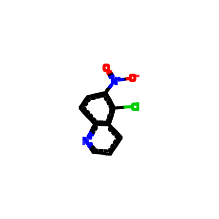 O=[N+]([O-])c1ccc2ncccc2c1Cl